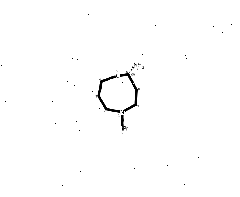 CC(C)N1CCCC[C@H](N)CC1